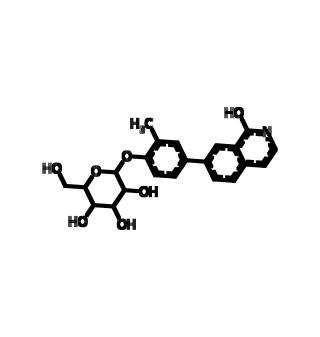 Cc1cc(-c2ccc3ccnc(O)c3c2)ccc1OC1OC(CO)C(O)C(O)C1O